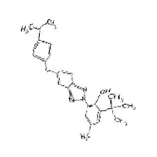 Cc1cc(-n2nc3ccc(Sc4ccc(C(C)C)cc4)cc3n2)c(O)c(C(C)(C)C)c1